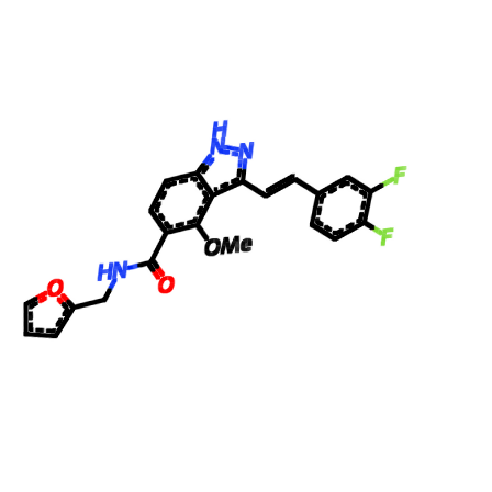 COc1c(C(=O)NCc2ccco2)ccc2[nH]nc(/C=C/c3ccc(F)c(F)c3)c12